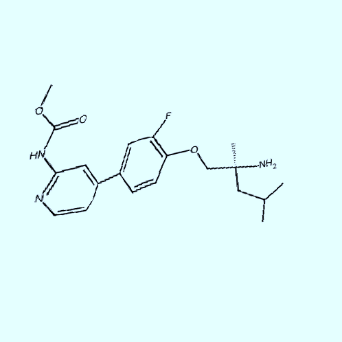 COC(=O)Nc1cc(-c2ccc(OC[C@@](C)(N)CC(C)C)c(F)c2)ccn1